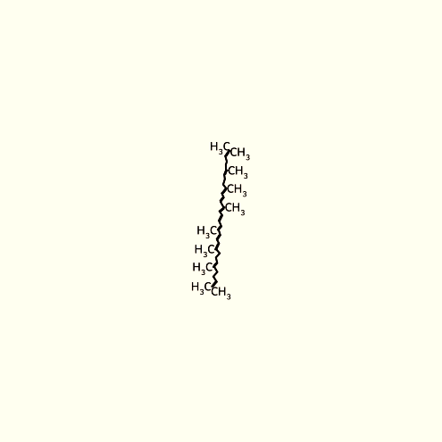 CC(C)=CCC/C(C)=C/CC/C(C)=C/C=C/C(C)=C/C=C/C=C(C)/C=C/C=C(\C)CC/C=C(\C)CCC=C(C)C